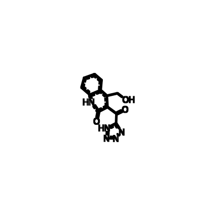 O=C(c1nnn[nH]1)c1c(CO)c2ccccc2[nH]c1=O